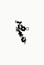 CC(C#N)N1Cc2nnc(C3CC4(C3)CN(c3ccc(F)cn3)C4)n2C2C=CC(Cl)=CC2C1